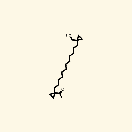 CC(=O)C1(CCCCCCCCCCCCC2(CO)CC2)CC1